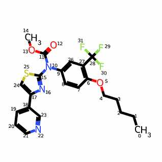 CCCCCOc1ccc(N(C(=O)OC)c2nc(-c3cccnc3)cs2)cc1C(F)(F)F